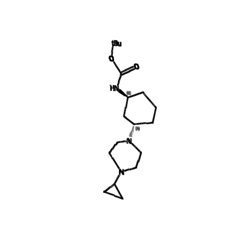 CC(C)(C)OC(=O)N[C@H]1CCC[C@H](N2CCN(C3CC3)CC2)C1